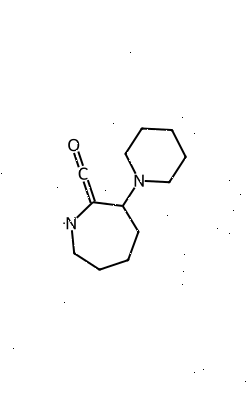 O=C=C1[N]CCCCC1N1CCCCC1